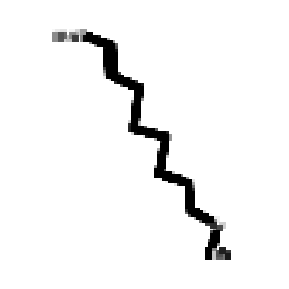 CCCCCCCCC=CCCCCCCOOC(C)=O